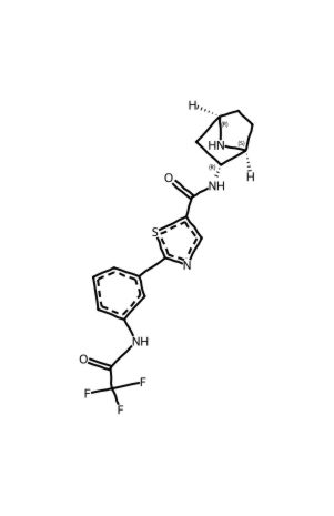 O=C(N[C@@H]1C[C@H]2CC[C@@H]1N2)c1cnc(-c2cccc(NC(=O)C(F)(F)F)c2)s1